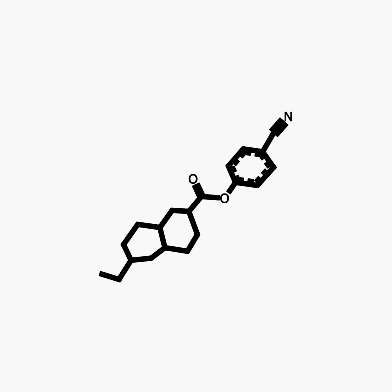 CCC1CCC2CC(C(=O)Oc3ccc(C#N)cc3)CCC2C1